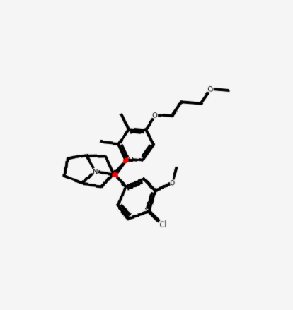 COCCCOc1ccc(CN2C3CCC2CC(O)(c2ccc(Cl)c(OC)c2)C3)c(C)c1C